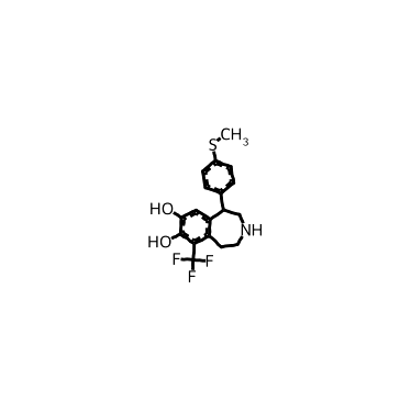 CSc1ccc(C2CNCCc3c2cc(O)c(O)c3C(F)(F)F)cc1